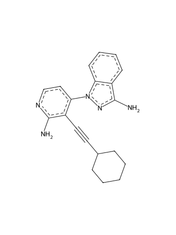 Nc1nccc(-n2nc(N)c3ccccc32)c1C#CC1CCCCC1